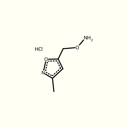 Cc1cc(CON)on1.Cl